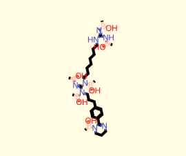 CB(O)/N=C(/NCCCCCCCCN(B(C)O)/C(=N\B(C)O)N(CCCc1ccc(C2=NCCCN2B(C)O)cc1)B(C)O)NB(C)O